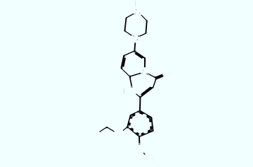 CCOc1cc(C2=CC(=O)N3C=C(N4CCNCC4)C=CC3P2)ccc1OC